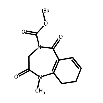 CN1C(=O)CN(C(=O)OC(C)(C)C)C(=O)C2=C1CCC=C2